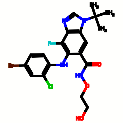 BC(B)(B)n1cnc2c(F)c(Nc3ccc(Br)cc3Cl)c(C(=O)NOCCO)cc21